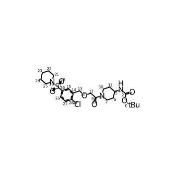 CC(C)(C)OC(=O)NC1CCN(C(=O)COCc2cc(S(=O)(=O)N3CCCCC3)ccc2Cl)CC1